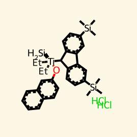 C[CH2][Ti](=[SiH2])([CH2]C)([O]c1ccc2ccccc2c1)[CH]1c2ccc([Si](C)(C)C)cc2-c2cc([Si](C)(C)C)ccc21.Cl.Cl